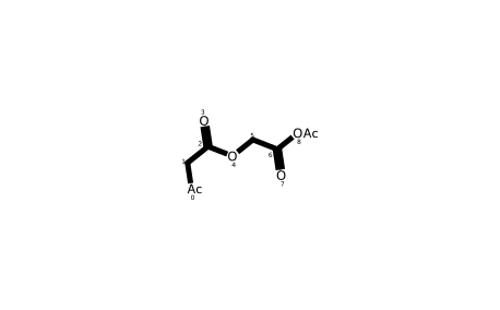 CC(=O)CC(=O)OCC(=O)OC(C)=O